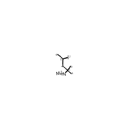 CNC(C)(C)CC(C)I